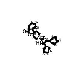 O=C1OC2(CCN(c3nc(-c4ccc(F)cc4)c(-c4cccnc4)[nH]3)CC2)c2ccccc21